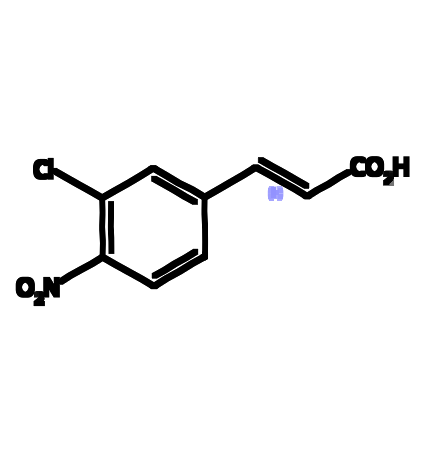 O=C(O)/C=C/c1ccc([N+](=O)[O-])c(Cl)c1